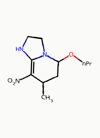 CCCOC1CC(C)C([N+](=O)[O-])=C2NCCN21